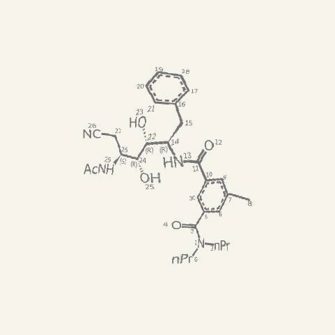 CCCN(CCC)C(=O)c1cc(C)cc(C(=O)N[C@H](Cc2ccccc2)[C@@H](O)[C@H](O)[C@H](CC#N)NC(C)=O)c1